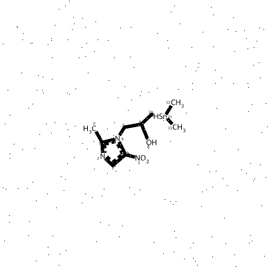 Cc1ncc([N+](=O)[O-])n1CC(O)[CH2][SnH]([CH3])[CH3]